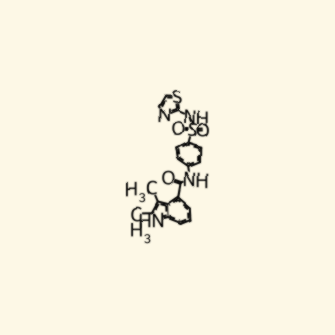 Cc1[nH]c2cccc(C(=O)Nc3ccc(S(=O)(=O)Nc4nccs4)cc3)c2c1C